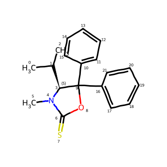 CC(C)[C@@H]1N(C)C(=S)OC1(c1ccccc1)c1ccccc1